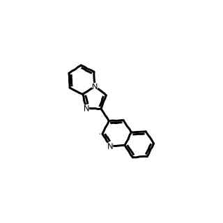 [c]1nc2ccccc2cc1-c1cn2ccccc2n1